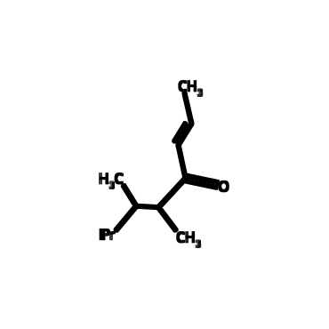 C/C=C/C(=O)C(C)C(C)C(C)C